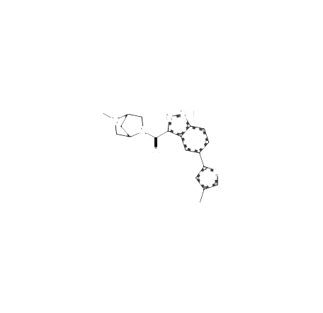 Cc1csc(-c2ccc3[nH]nc(C(=O)N4CC5CC4CN5C)c3c2)c1